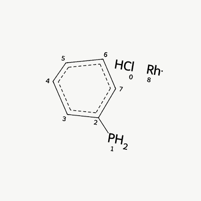 Cl.Pc1ccccc1.[Rh]